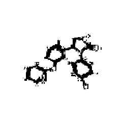 O=C1OCC(c2cccc(Oc3ccccn3)c2)N1c1ccc(Cl)cc1